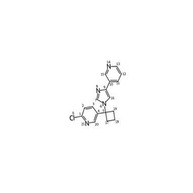 Clc1ccc(C2(n3cnc(-c4cccnc4)c3)CCC2)cn1